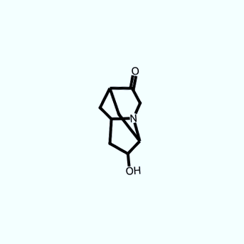 O=C1CN2C3CC1CC2C(O)C3